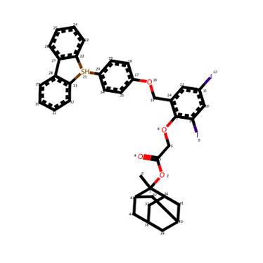 CC1(OC(=O)COc2c(I)cc(I)cc2COc2ccc([SH]3c4ccccc4-c4ccccc43)cc2)C2CC3CC(C2)CC1C3